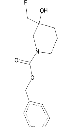 O=C(OCc1ccccc1)N1CCCC(O)(CF)C1